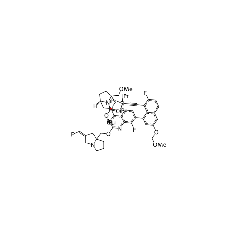 COCOc1cc(-c2ccc3c(N4C[C@@H]5CC[C@](COC)(C4)N5C(=O)OC(C)(C)C)nc(OCC45CCCN4C/C(=C\F)C5)nc3c2F)c2c(C#C[Si](C(C)C)(C(C)C)C(C)C)c(F)ccc2c1